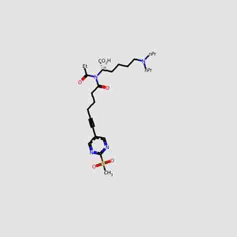 CCCN(CCC)CCCC[C@@H](C(=O)O)N(C(=O)CC)C(=O)CCCC#Cc1cnc(S(C)(=O)=O)nc1